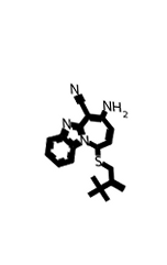 C=C(CSC1C=CC(N)=C(C#N)c2nc3ccccc3n21)C(C)(C)C